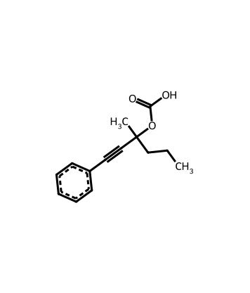 CCCC(C)(C#Cc1ccccc1)OC(=O)O